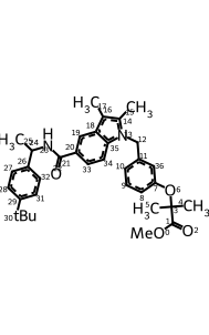 COC(=O)C(C)(C)Oc1cccc(Cn2c(C)c(C)c3cc(C(=O)NC(C)c4ccc(C(C)(C)C)cc4)ccc32)c1